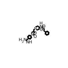 N=C(N)c1ccc(N2CC(CN3CCC(NS(=O)(=O)CCc4ccccc4)CC3)OC2=O)cc1